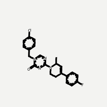 CC1C=C(c2ccc(F)cc2)CCN1c1ncn(Cc2ccc(Cl)cc2)c(=O)n1